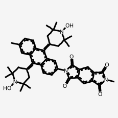 Cc1ccc2c(=C3CC(C)(C)N(O)C(C)(C)C3)c3cc(-n4c(=O)c5cc6c(=O)n(C)c(=O)c6cc5c4=O)ccc3c(=C3CC(C)(C)N(O)C(C)(C)C3)c2c1